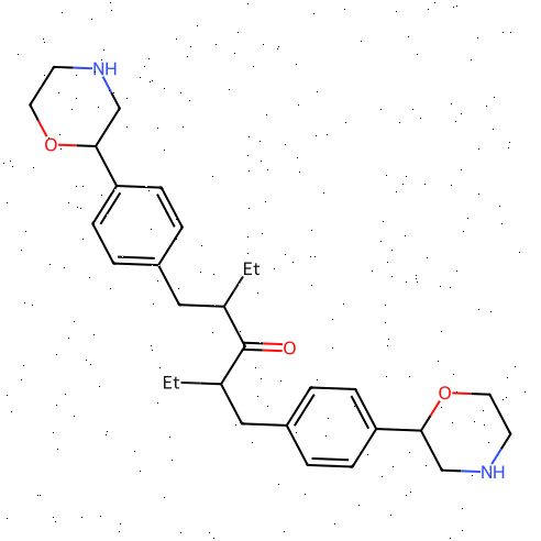 CCC(Cc1ccc(C2CNCCO2)cc1)C(=O)C(CC)Cc1ccc(C2CNCCO2)cc1